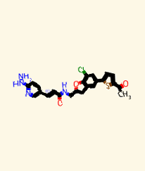 CC(=O)c1ccc(-c2cc(Cl)c3c(c2)CC(CNC(=O)/C=C/c2ccc(NN)nc2)O3)s1